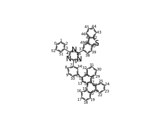 c1ccc(-c2nc(-c3cccc(-c4cc5c6ccccc6c6ccccc6c5c5ccccc45)c3)nc(-c3ccc4sc5ccccc5c4c3)n2)cc1